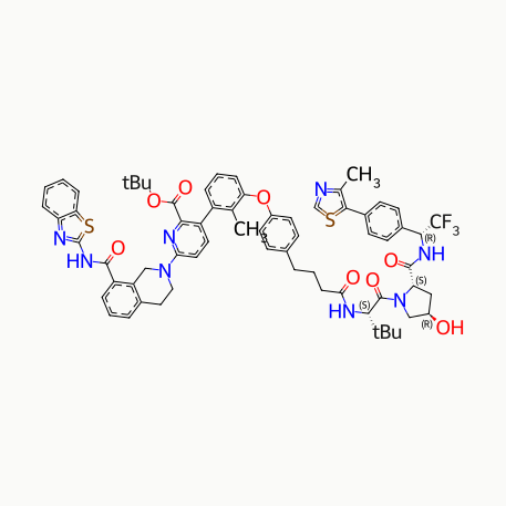 Cc1ncsc1-c1ccc([C@@H](NC(=O)[C@@H]2C[C@@H](O)CN2C(=O)[C@@H](NC(=O)CCCc2ccc(Oc3cccc(-c4ccc(N5CCc6cccc(C(=O)Nc7nc8ccccc8s7)c6C5)nc4C(=O)OC(C)(C)C)c3C)cc2)C(C)(C)C)C(F)(F)F)cc1